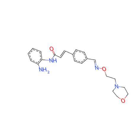 Nc1ccccc1NC(=O)C=Cc1ccc(C=NOCCN2CCOCC2)cc1